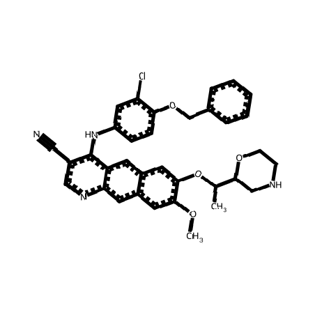 COc1cc2cc3ncc(C#N)c(Nc4ccc(OCc5ccccc5)c(Cl)c4)c3cc2cc1OC(C)C1CNCCO1